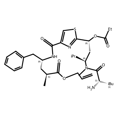 C=CCOC(=O)[C@@H](C)C[C@H](Cc1ccccc1)NC(=O)c1csc([C@@H](C[C@H](C(C)C)N(C)C(=O)[C@@H](N)[C@@H](C)CC)OC(=O)CC)n1